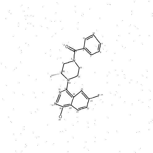 C[C@@H]1CN(C(=O)c2ccccc2)CCN1c1nnc(Cl)c2ccc(F)cc12